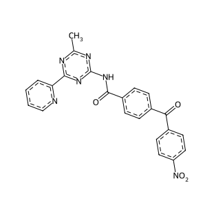 Cc1nc(NC(=O)c2ccc(C(=O)c3ccc([N+](=O)[O-])cc3)cc2)nc(-c2ccccn2)n1